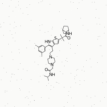 Cc1cc(C)cc(-c2[nH]c3sc(C(C)(C)C(=O)C4C5CCC4NC5)cc3c2CCN2CCN(CC(=O)NC(C)C)CC2)c1